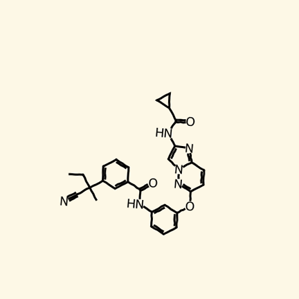 CCC(C)(C#N)c1cccc(C(=O)Nc2cccc(Oc3ccc4nc(NC(=O)C5CC5)cn4n3)c2)c1